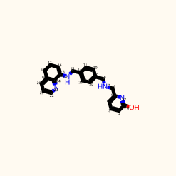 Oc1cccc(CNCc2ccc(CNC3CCCc4cccnc43)cc2)n1